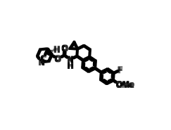 COc1ccc(-c2ccc3c(c2)CCC2(CC2)C3NC(=O)O[C@H]2CN3CCC2CC3)cc1F